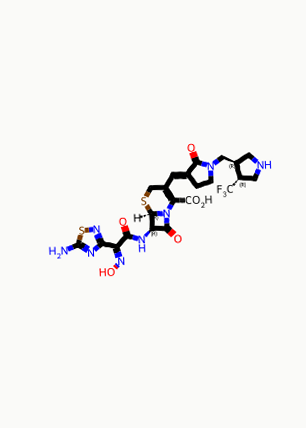 Nc1nc(C(=NO)C(=O)N[C@@H]2C(=O)N3C(C(=O)O)=C(C=C4CCN(C[C@H]5CNC[C@@H]5C(F)(F)F)C4=O)CS[C@H]23)ns1